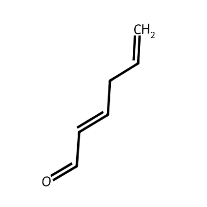 C=CCC=CC=O